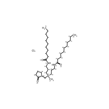 CCCCCCCCCCC(=O)NCCC[N+](C)(CCCNC(=O)CCCCCCCCCC)CN1CCCC1=O.[Cl-]